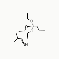 CC(C)C=N.CCC[Si](OCC)(OCC)OCC